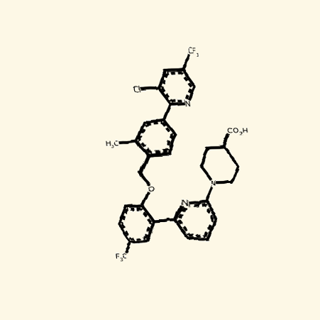 Cc1cc(-c2ncc(C(F)(F)F)cc2Cl)ccc1COc1ccc(C(F)(F)F)cc1-c1cccc(N2CCC(C(=O)O)CC2)n1